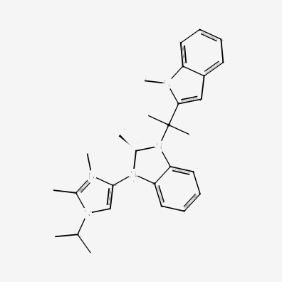 Cc1n(C(C)C)cc(N2c3ccccc3N(C(C)(C)c3cc4ccccc4n3C)[C@@H]2C)[n+]1C